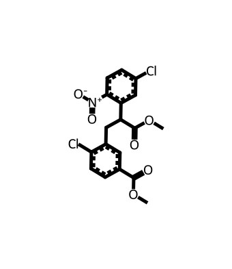 COC(=O)c1ccc(Cl)c(CC(C(=O)OC)c2cc(Cl)ccc2[N+](=O)[O-])c1